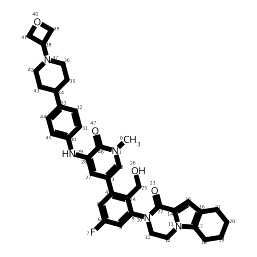 Cn1cc(-c2cc(F)cc(N3CCn4c(cc5c4CCCC5)C3=O)c2CO)cc(Nc2ccc(C3CCN(C4COC4)CC3)cc2)c1=O